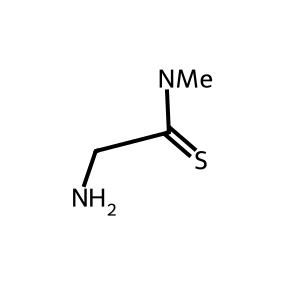 CNC(=S)CN